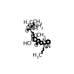 CCCCCN1C=Nc2cccc3nc4c(c1c23)Cn1c-4cc2c(c1=O)COC(=O)[C@@]2(CC)OC(=O)CC[C@H](NC(=O)[C@@H](N)C(C)C)C(=O)O.Cl